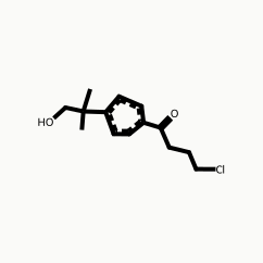 CC(C)(CO)c1ccc(C(=O)CCCCl)cc1